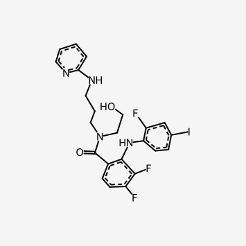 O=C(c1ccc(F)c(F)c1Nc1ccc(I)cc1F)N(CCO)CCCNc1ccccn1